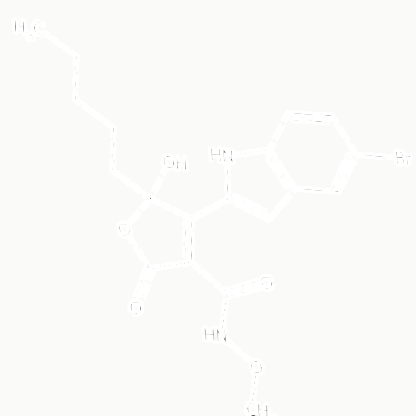 CCCCCC1(O)OC(=O)C(C(=O)NOC)=C1c1cc2cc(Br)ccc2[nH]1